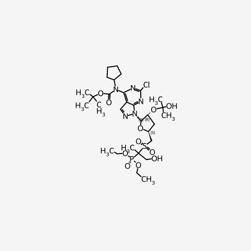 CCOP(=O)(OCC)C(C)(CO)S(=O)(=O)C[C@@H]1C[C@@H](OC(C)(C)O)[C@H](n2ncc3c(N(C(=O)OC(C)(C)C)C4CCCC4)nc(Cl)nc32)O1